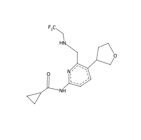 O=C(Nc1ccc(C2CCOC2)c(CNCC(F)(F)F)n1)C1CC1